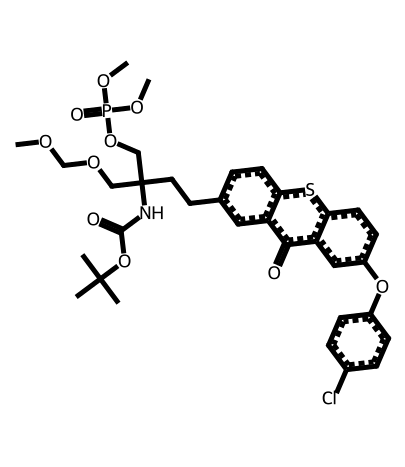 COCOCC(CCc1ccc2sc3ccc(Oc4ccc(Cl)cc4)cc3c(=O)c2c1)(COP(=O)(OC)OC)NC(=O)OC(C)(C)C